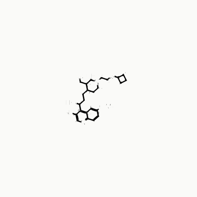 COc1ccc2ncc(F)c(C(O)CCC3CCN(CCSC4CCC4)CC3CC(=O)O)c2c1